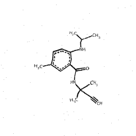 C#CC(C)(C)NC(=O)c1cc(C)ccc1NC(C)C